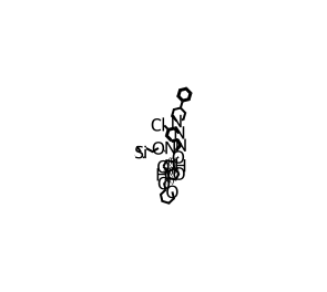 C[Si](C)(C)CCOCn1c(O[C@@H]2CO[C@H]3[C@@H]2OC[C@H]3OC2CCCCO2)nc2nc(N3CCC(c4ccccc4)CC3)c(Cl)cc21